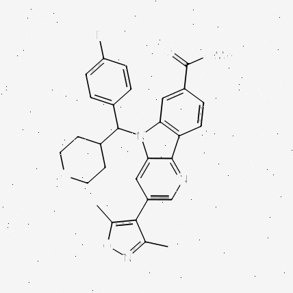 COC(=O)c1ccc2c3ncc(-c4c(C)noc4C)cc3n(C(c3ccc(F)cc3)C3CCOCC3)c2c1